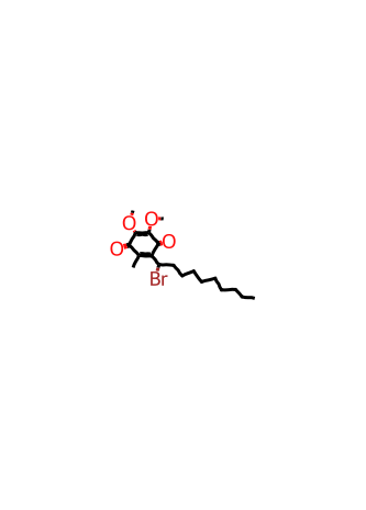 CCCCCCCCCC(Br)C1=C(C)C(=O)C(OC)=C(OC)C1=O